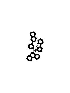 c1cc(-c2ccc3ccccc3c2)cc(N(c2cc3ccccc3c3ccccc23)c2cccc3c2sc2ccccc23)c1